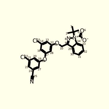 CC(C)(C)[N+]1(C(=O)[O-])N=C(COc2cc(Cl)cc(Oc3cc(Cl)cc(C#N)c3)c2)c2ccccc21